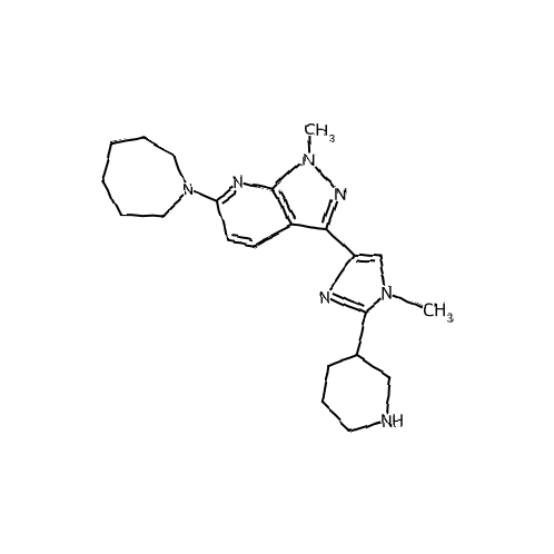 Cn1cc(-c2nn(C)c3nc(N4CCCCCC4)ccc23)nc1C1CCCNC1